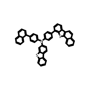 c1ccc2c(-c3ccc(N(c4ccc(-c5cccc6c5sc5c7ccccc7ccc65)cc4)c4ccc5c(c4)sc4ccccc45)cc3)cccc2c1